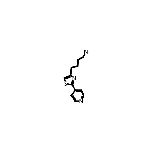 [N]CCCCc1csc(-c2ccncc2)n1